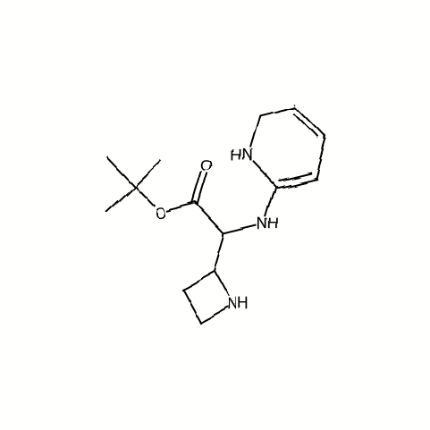 CC(C)(C)OC(=O)C(NC1=CC=[C]CN1)C1CCN1